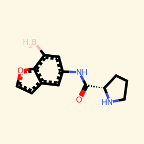 Bc1cc(NC(=O)[C@@H]2CCCN2)cc2ccoc12